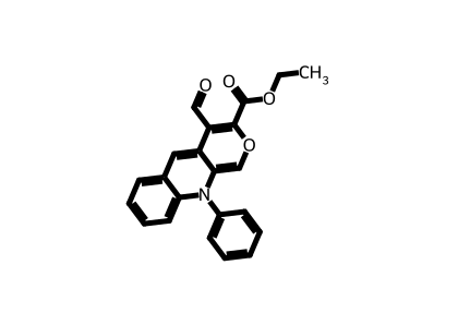 CCOC(=O)C1=C(C=O)C2=Cc3ccccc3N(c3ccccc3)C2=CO1